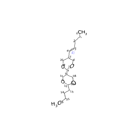 CCC/C=C/C1COC(C2COC(CCCC)OC2)OC1